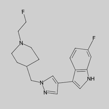 FCCN1CCC(Cn2cc(-c3c[nH]c4cc(F)ccc34)cn2)CC1